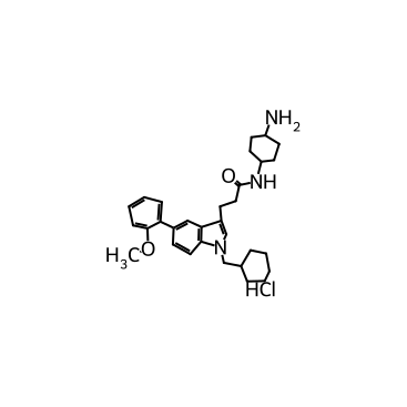 COc1ccccc1-c1ccc2c(c1)c(CCC(=O)NC1CCC(N)CC1)cn2CC1CCCCC1.Cl